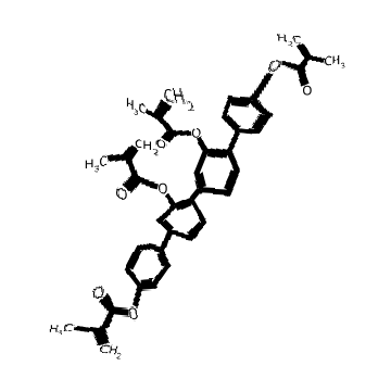 C=C(C)C(=O)Oc1ccc(-c2ccc(-c3ccc(-c4ccc(OC(=O)C(=C)C)cc4)c(OC(=O)C(=C)C)c3)c(OC(=O)C(=C)C)c2)cc1